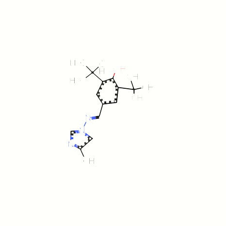 Cc1cn(/N=C/c2cc(C(C)(C)C)c(O)c(C(C)(C)C)c2)cn1